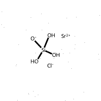 [Cl-].[O-][Si](O)(O)O.[Sr+2]